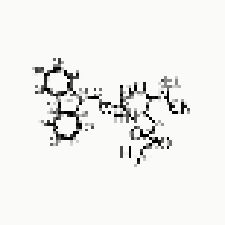 CCN(C#N)C(=O)C(CS(C)(=O)=O)NC(=O)OCC1c2ccccc2-c2ccccc21